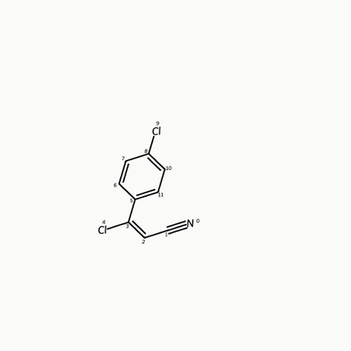 N#C/C=C(/Cl)c1ccc(Cl)cc1